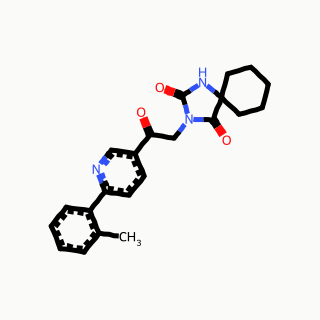 Cc1ccccc1-c1ccc(C(=O)CN2C(=O)NC3(CCCCC3)C2=O)cn1